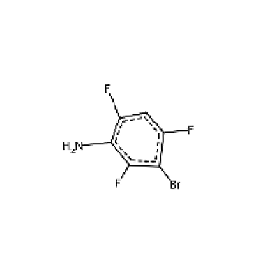 Nc1c(F)cc(F)c(Br)c1F